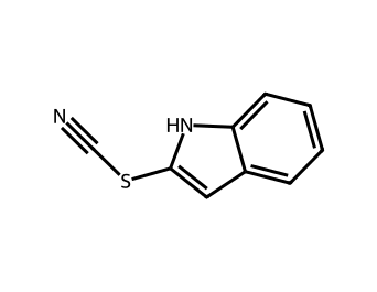 N#CSc1cc2ccccc2[nH]1